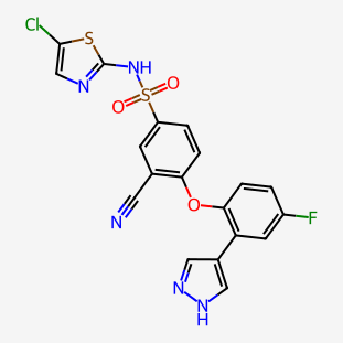 N#Cc1cc(S(=O)(=O)Nc2ncc(Cl)s2)ccc1Oc1ccc(F)cc1-c1cn[nH]c1